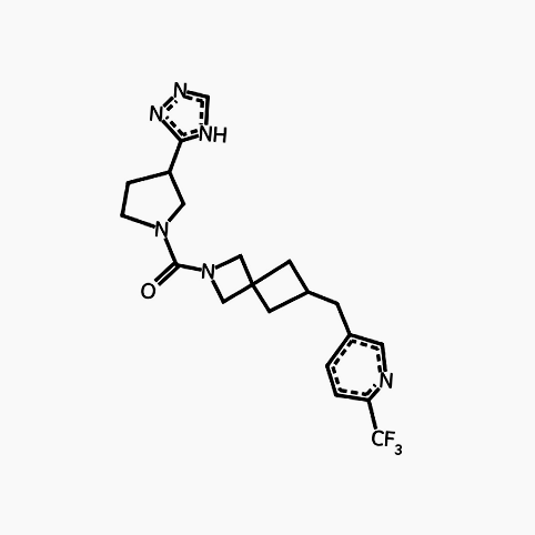 O=C(N1CCC(c2nnc[nH]2)C1)N1CC2(CC(Cc3ccc(C(F)(F)F)nc3)C2)C1